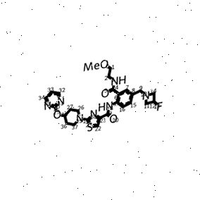 COCCNC(=O)c1cc(CN2CC(F)C2)ccc1NC(=O)c1csc(N2CCC(Oc3ncccn3)CC2)n1